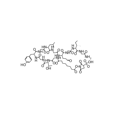 CC[C@H](C)C(NC(=O)CNC(=O)C(CCC=O)NC(=O)CNC(=O)C(CC(C)C)NC(=O)CNC(=O)C(Cc1ccc(O)cc1)NC(=O)CNC(=O)C(NC(=O)CNC(=O)CCCCCCC(=O)ON1C(=O)CC(S(=O)(=O)O)C1=O)C(C)O)C(=O)NCC(N)=O